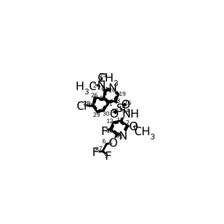 COc1nc(OCC(F)F)c(F)cc1NS(=O)(=O)c1cnc(N(C)C)c2cc(Cl)ccc12